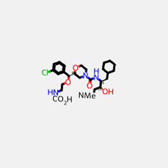 CNC[C@H](O)[C@H](CC1CCCCC1)NC(=O)N1CCO[C@@H](C(OCCNC(=O)O)c2cccc(Cl)c2)C1